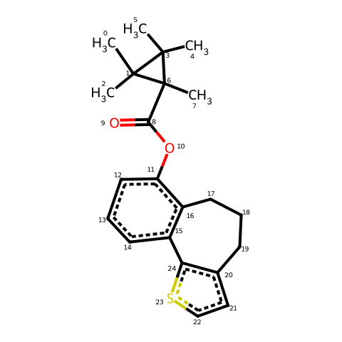 CC1(C)C(C)(C)C1(C)C(=O)Oc1cccc2c1CCCc1ccsc1-2